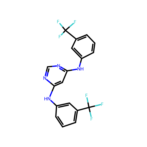 FC(F)(F)c1cccc(Nc2cc(Nc3cccc(C(F)(F)F)c3)ncn2)c1